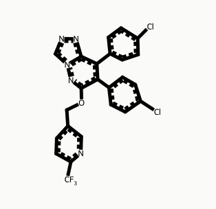 FC(F)(F)c1ccc(COc2nn3cnnc3c(-c3ccc(Cl)cc3)c2-c2ccc(Cl)cc2)cn1